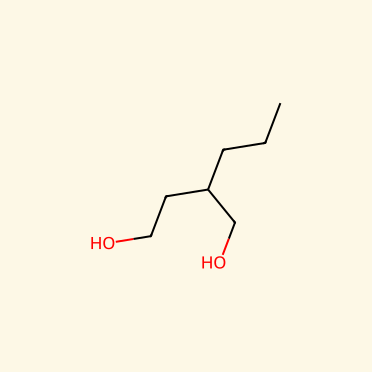 CCCC(CO)CCO